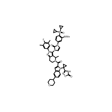 CNc1cc(-n2ccn(-c3c4c(nn3-c3cc(C)c(F)c(C)c3)CCN(C(=O)c3cc5cc(C6CCOCC6)ccc5n3C3(c5noc(=O)[nH]5)CC3)C4C)c2=O)ccc1P(=O)(C1CC1)C1CC1